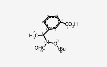 CC(c1cccc(C(=O)O)c1)N(C=O)OC(C)(C)C